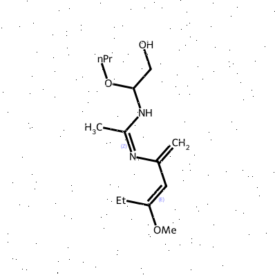 C=C(/C=C(\CC)OC)/N=C(/C)NC(CO)OCCC